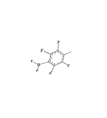 Cc1c(F)c(F)c(B(F)F)c(F)c1F